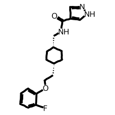 O=C(NC[C@H]1CC[C@@H](CCOc2ccccc2F)CC1)c1cn[nH]c1